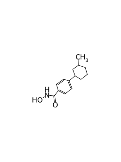 CC1CCCC(c2ccc(C(=O)NO)cc2)C1